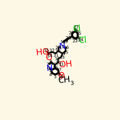 COc1ccc2nccc([C@@H](O)CCC3CCN(CC#Cc4cc(Cl)cc(Cl)c4)CC3CCC(=O)O)c2c1